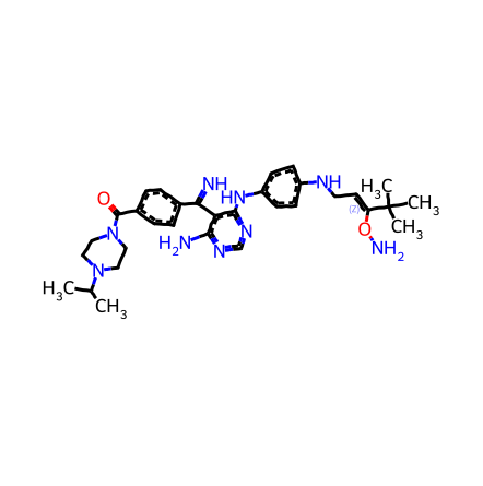 CC(C)N1CCN(C(=O)c2ccc(C(=N)c3c(N)ncnc3Nc3ccc(NC/C=C(\ON)C(C)(C)C)cc3)cc2)CC1